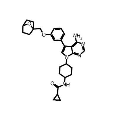 Nc1ncnc2c1c(-c1cccc(OCC34CCC(CC3)O4)c1)cn2C1CCC(NC(=O)C2CC2)CC1